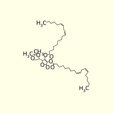 CCCCC/C=C\C/C=C\CCCCCCCC(=O)OC1=C(OC(=O)CCCCCCC/C=C\C/C=C\CCCCC)C(C2COC(C)(C)O2)OC1=O